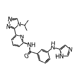 CC(C)n1cnnc1-c1cccc(NC(=O)c2cccc(Nc3cnc[nH]3)c2)n1